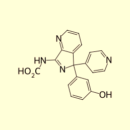 O=C(O)NC1=NC(c2ccncc2)(c2cccc(O)c2)c2cccnc21